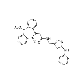 CC(=O)OC1c2ccccc2C(=O)N(CC(=O)NCc2cnc(Nc3ccccn3)s2)c2ccccc21